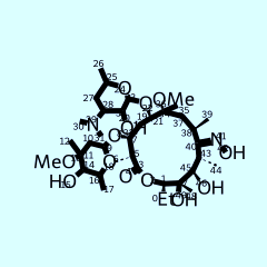 CC[C@H]1OC(=O)[C@H](C)[C@@H](OC2CC(C)(OC)C(O)C(C)O2)[C@H](C)[C@@H](OC2OC(C)CC(N(C)C)C2O)[C@](C)(OC)C[C@@H](C)C(=NO)[C@H](C)[C@@H](O)[C@]1(C)O